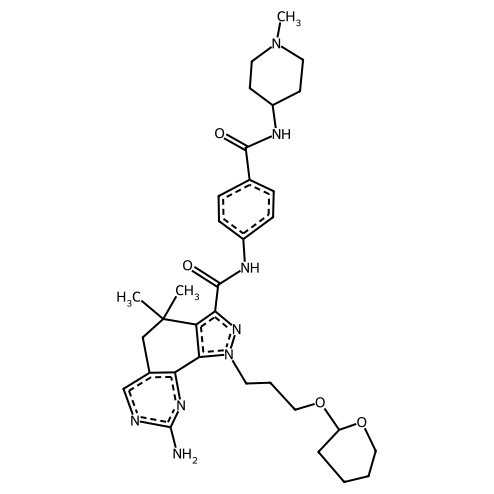 CN1CCC(NC(=O)c2ccc(NC(=O)c3nn(CCCOC4CCCCO4)c4c3C(C)(C)Cc3cnc(N)nc3-4)cc2)CC1